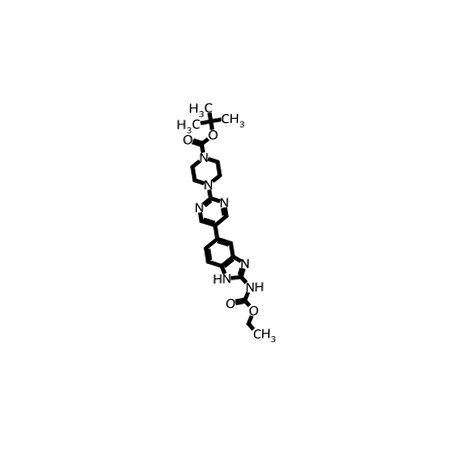 CCOC(=O)Nc1nc2cc(-c3cnc(N4CCN(C(=O)OC(C)(C)C)CC4)nc3)ccc2[nH]1